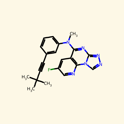 CN(c1cccc(C#CC(C)(C)C)c1)c1nc2nncn2c2ncc(F)cc12